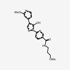 COCCCNC(=O)c1ccc(-n2ncc(-c3ccnc(OC)c3)c2O)nc1